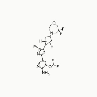 CC(C)n1nc(-c2cnc(N)c(OC(F)F)c2)cc1[C@H]1[C@@H]2CC(N3CCOCC(F)(F)C3)C[C@@H]21